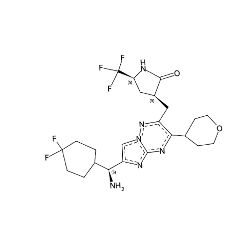 N[C@H](c1cn2nc(C[C@H]3C[C@@H](C(F)(F)F)NC3=O)c(C3CCOCC3)nc2n1)C1CCC(F)(F)CC1